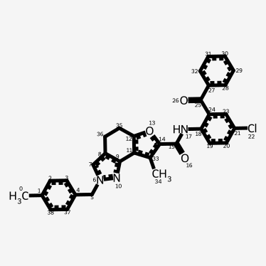 Cc1ccc(Cn2cc3c(n2)-c2c(oc(C(=O)Nc4ccc(Cl)cc4C(=O)c4ccccc4)c2C)CC3)cc1